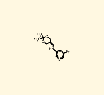 CC1(C)OCC(=CNc2cncc(Br)c2)CO1